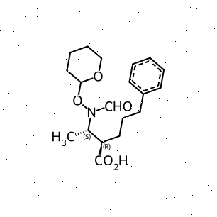 C[C@@H]([C@@H](CCCc1ccccc1)C(=O)O)N(C=O)OC1CCCCO1